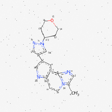 Cc1cnc2c3cc(-c4cnn(C5CCOCC5)c4)cnc3ccn12